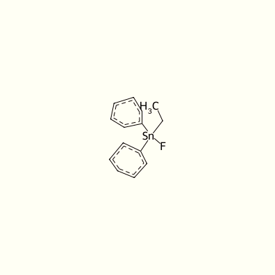 C[CH2][Sn]([F])([c]1ccccc1)[c]1ccccc1